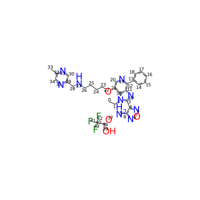 CCn1c(-c2nonc2N)nc2c(-c3ccccc3)ncc(OCCCCNCc3cnc(C)cn3)c21.O=C(O)C(F)(F)F